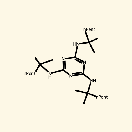 CCCCCC(C)(C)Nc1nc(NC(C)(C)CCCCC)nc(NC(C)(C)CCCCC)n1